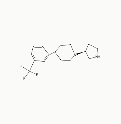 FC(F)(F)c1cccc(C2CCN([C@H]3CCNC3)CC2)c1